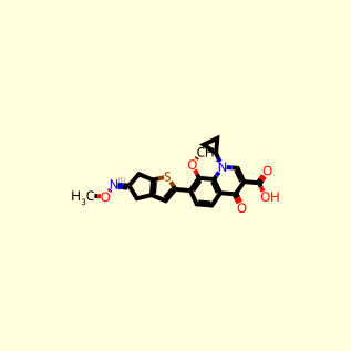 CO/N=C1\Cc2cc(-c3ccc4c(=O)c(C(=O)O)cn(C5CC5)c4c3OC)sc2C1